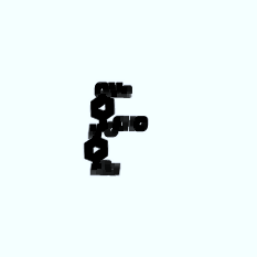 CCCCc1ccc(N=C(OC=O)c2ccc(OC)cc2)cc1